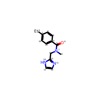 CCc1ccc(C(=O)N(C)Cc2ncc[nH]2)cc1